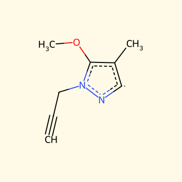 C#CCn1n[c]c(C)c1OC